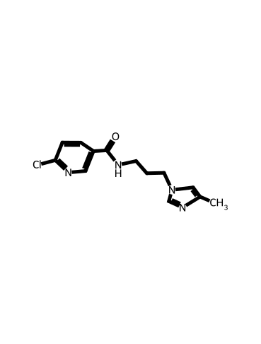 Cc1cn(CCCNC(=O)c2ccc(Cl)nc2)cn1